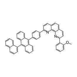 COc1ccccc1-c1ccc2ccc3ccc(-c4ccc(-c5c6ccccc6c(-c6cccc7ccccc67)c6ccccc56)cc4)nc3c2n1